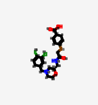 O=C(CSC1=CCC(C(=O)O)C=C1)NC[C@H]1CN(CC2C=C(Cl)C(F)=CC2)CCO1